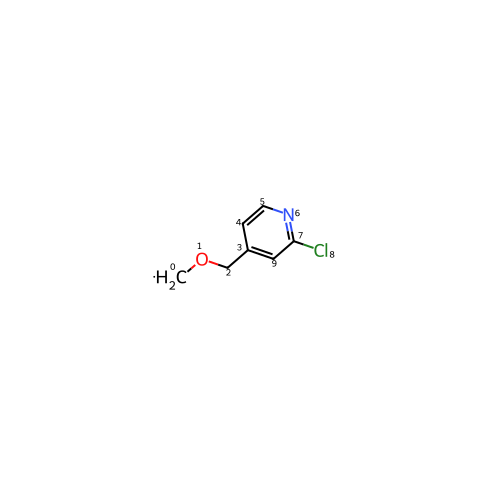 [CH2]OCc1ccnc(Cl)c1